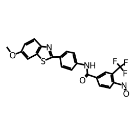 COc1ccc2nc(-c3ccc(NC(=O)c4ccc(N=O)c(C(F)(F)F)c4)cc3)sc2c1